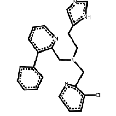 Clc1cccnc1CN(CCc1cnc[nH]1)Cc1ncccc1-c1ccccc1